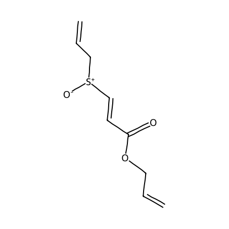 C=CCOC(=O)C=C[S+]([O-])CC=C